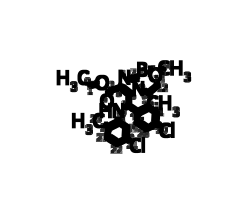 CCOC(=O)c1nc(Br)n([C@@H](C)COC)c1C(Nc1cc(Cl)ccc1C)c1ccc(Cl)cc1